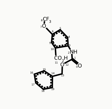 O=C(Nc1ccc(OC(F)(F)F)cc1C(=O)O)OCc1ccccc1